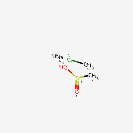 CCl.CS(=O)O.[NaH]